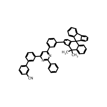 CC1(C)c2ccccc2C2(c3ccccc3-c3ccccc32)c2ccc(-c3cccc(-c4cc(-c5cccc(-c6cccc(C#N)c6)c5)nc(-c5ccccc5)n4)c3)cc21